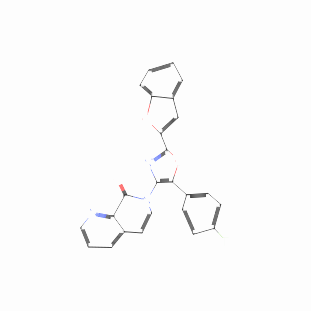 O=c1c2ncccc2ccn1-c1nc(-c2cc3ccccc3o2)oc1-c1ccc(F)cc1